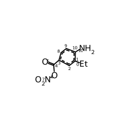 CCc1cc(C(=O)O[N+](=O)[O-])ccc1N